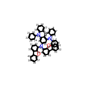 c1ccc(N2c3ccccc3B3c4ccccc4N(c4ccccc4)c4cc(N(c5cccc6c5oc5ccccc56)c5cccc6c5oc5ccccc56)cc2c43)cc1